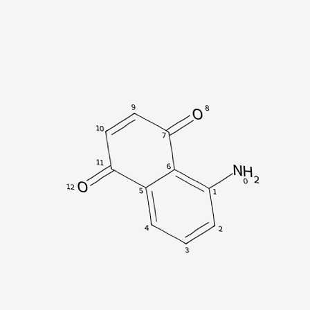 Nc1cccc2c1C(=O)C=CC2=O